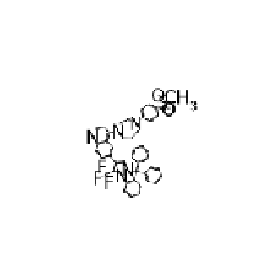 CS(=O)(=O)c1ccc(N2CCCN(c3ccnc4ccc(-c5cn(C(c6ccccc6)(c6ccccc6)c6ccccc6)nc5C(F)(F)F)cc34)CC2)cc1